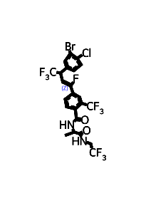 CC(NC(=O)c1ccc(/C(F)=C/C(c2ccc(Cl)c(Br)c2)C(F)(F)F)cc1C(F)(F)F)C(=O)NCC(F)(F)F